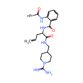 C=CCC(NC(=O)c1ccccc1NC(=O)CCC)C(=O)NCC1CCN(C(=N)N)CC1